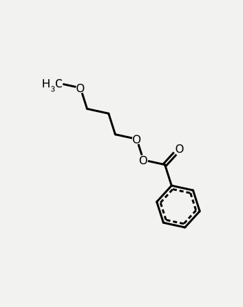 COCCCOOC(=O)c1ccccc1